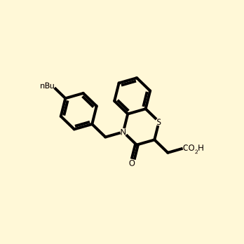 CCCCc1ccc(CN2C(=O)C(CC(=O)O)Sc3ccccc32)cc1